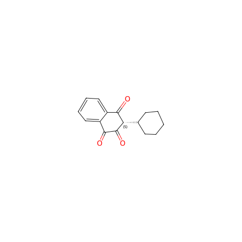 O=C1C(=O)[C@@H](C2CCCCC2)C(=O)c2ccccc21